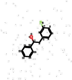 [O]C(Cc1cccc(F)c1)c1ccccc1